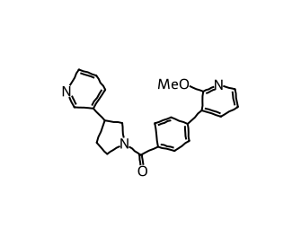 COc1ncccc1-c1ccc(C(=O)N2CCC(c3cccnc3)C2)cc1